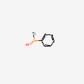 CCP(O)c1ccccc1